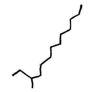 CCCCCCCC[CH]CC(C)CC